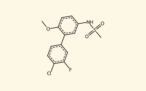 COc1ccc(NS(C)(=O)=O)cc1-c1ccc(Cl)c(F)c1